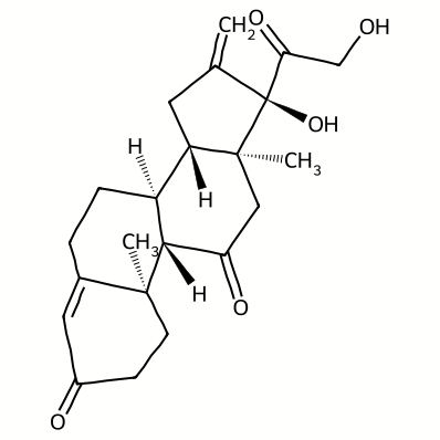 C=C1C[C@H]2[C@@H]3CCC4=CC(=O)CC[C@]4(C)[C@H]3C(=O)C[C@]2(C)[C@@]1(O)C(=O)CO